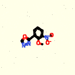 COc1c(-c2nnco2)cccc1[N+](=O)[O-]